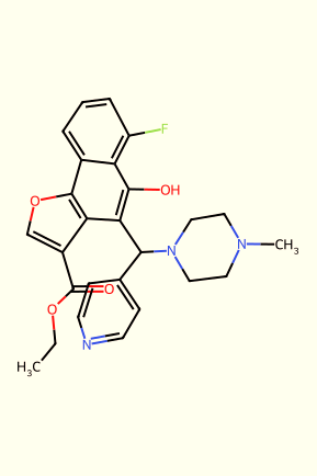 CCOC(=O)c1coc2c1c(C(c1ccncc1)N1CCN(C)CC1)c(O)c1c(F)cccc12